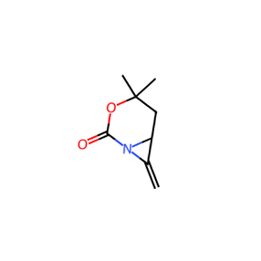 C=C1C2CC(C)(C)OC(=O)N12